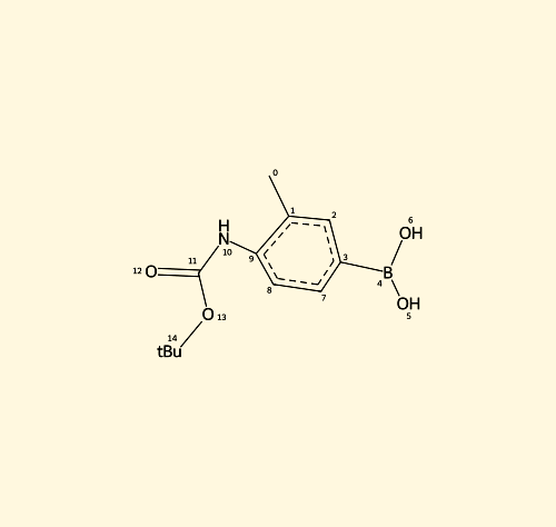 Cc1cc(B(O)O)ccc1NC(=O)OC(C)(C)C